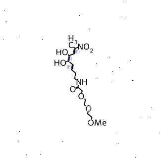 COCCOCCOCC(=O)NCC/C=C/C(O)=C(O)\C=C(/C)[N+](=O)[O-]